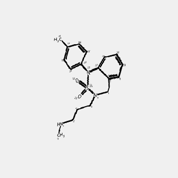 CNCCCN1Cc2ccccc2N(c2ccc(C)cc2)S1(=O)=O